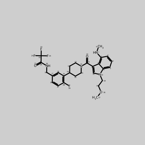 CNc1cccc2c1c(C(=O)N1CCC(c3cc(CNC(=O)C(F)(F)F)ccc3F)CC1)cn2CCOC